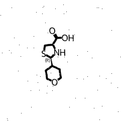 O=C(O)C1CS[C@H](C2CCOCC2)N1